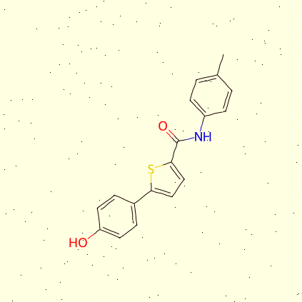 Cc1ccc(NC(=O)c2ccc(-c3ccc(O)cc3)s2)cc1